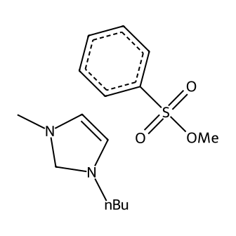 CCCCN1C=CN(C)C1.COS(=O)(=O)c1ccccc1